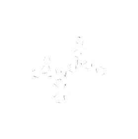 CC1(C)c2ccccc2-c2ccc(N(c3ccc(-c4ccccc4)cc3)c3ccc(-n4c5cc6c(cc5c5cc7c8ccccc8c8ccccc8c7cc54)-c4ccccc4C6(C)C)cc3)cc21